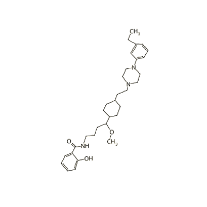 CCc1cccc(N2CCN(CCC3CCC(C(CCCNC(=O)c4ccccc4O)OC)CC3)CC2)c1